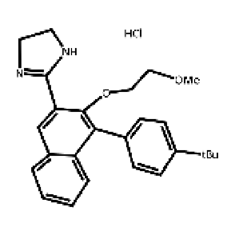 COCCOc1c(C2=NCCN2)cc2ccccc2c1-c1ccc(C(C)(C)C)cc1.Cl